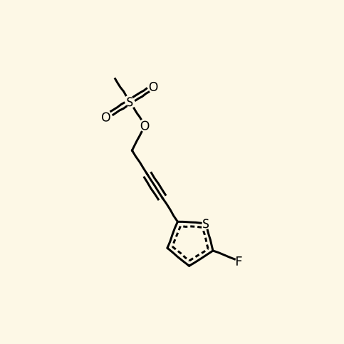 CS(=O)(=O)OCC#Cc1ccc(F)s1